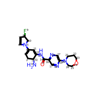 N[C@H]1CC=C(N2C=CC(F)C2)C=C1NC(=O)c1cnc(N2CCCOCC2)cn1